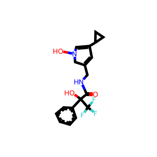 O=C(NCC1=CC(C2CC2)=CN(O)C1)C(O)(c1ccccc1)C(F)(F)F